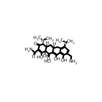 CN(C)c1cc(CN)c(O)c2c1C[C@H]1C[C@H]3[C@H](N(C)C)C(=O)C(C(N)=O)=C(O)[C@@]3(O)C(=O)C1=C2O.Cl